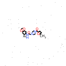 CC(=O)c1cc2c(cc1NC(=O)CN1CCN(C(=O)c3ccc(C)o3)CC1)OCCO2